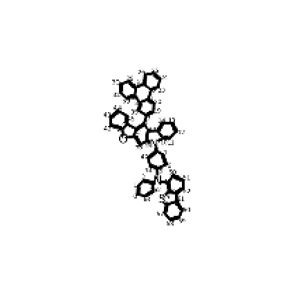 c1ccc(N(c2ccc(-n3c4ccccc4c4c(-c5ccc6c7ccccc7c7ccccc7c6c5)c5c(cc43)oc3ccccc35)cc2)c2cccc3c2sc2ccccc23)cc1